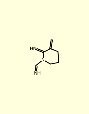 C=C1CCCN(C=N)C1=N